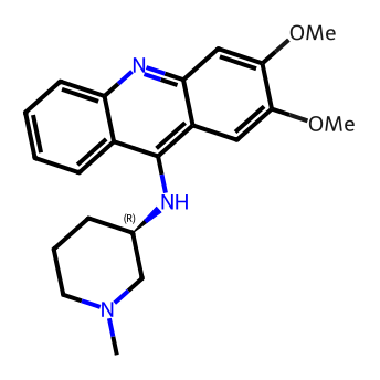 COc1cc2nc3ccccc3c(N[C@@H]3CCCN(C)C3)c2cc1OC